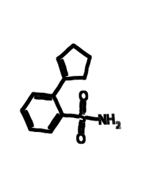 NS(=O)(=O)c1ccccc1C1=CCCC1